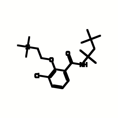 CC(C)(C)CC(C)(C)NC(=O)c1cccc(Cl)c1OCC[Si](C)(C)C